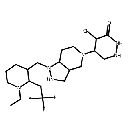 CCN1CCCC(CN2NCC3CN(C4CNNC(=O)C4Cl)CCC32)C1CC(F)(F)F